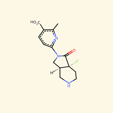 Cc1nc(N2C[C@@H]3CNCC[C@]3(F)C2=O)ccc1C(=O)O